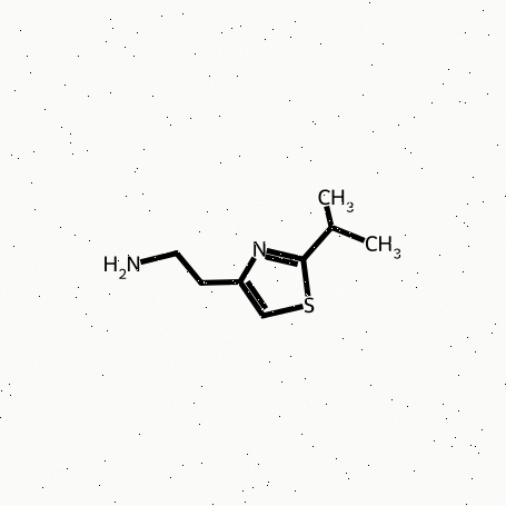 CC(C)c1nc(CCN)cs1